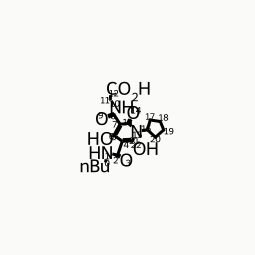 CCCCNC(=O)c1c(O)c(C(=O)NCC(=O)O)c(=O)n(C2CCCC2)c1O